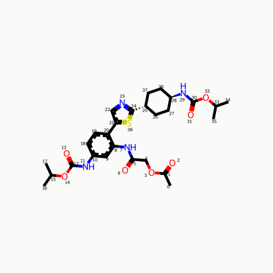 CC(=O)OCC(=O)Nc1cc(NC(=O)OC(C)C)ccc1-c1cnc([C@H]2CC[C@H](NC(=O)OC(C)C)CC2)s1